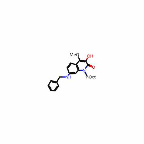 CCCCCCCCn1c(=O)c(O)c(OC)c2ccc(NCc3ccccc3)cc21